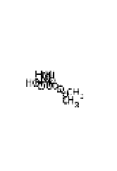 Cc1cc(C)cc(COc2ccc(S(=O)(=O)NCC(C(=O)NO)N3CCNC3)cc2)c1